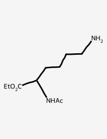 CCOC(=O)C(CCCCN)NC(C)=O